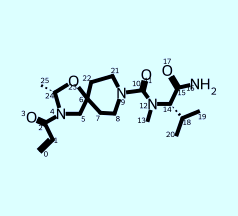 C=CC(=O)N1CC2(CCN(C(=O)N(C)[C@H](C(N)=O)C(C)C)CC2)O[C@H]1C